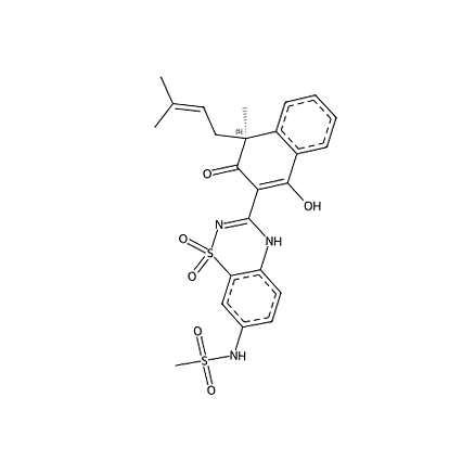 CC(C)=CC[C@]1(C)C(=O)C(C2=NS(=O)(=O)c3cc(NS(C)(=O)=O)ccc3N2)=C(O)c2ccccc21